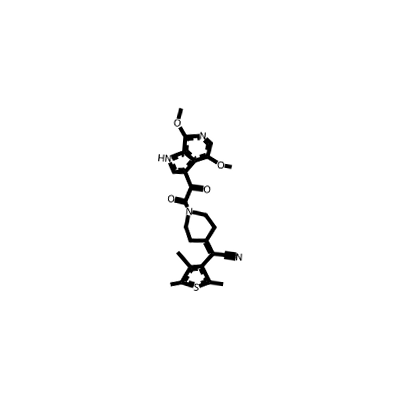 COc1ncc(OC)c2c(C(=O)C(=O)N3CCC(=C(C#N)c4c(C)sc(C)c4C)CC3)c[nH]c12